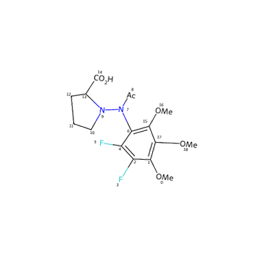 COc1c(F)c(F)c(N(C(C)=O)N2CCCC2C(=O)O)c(OC)c1OC